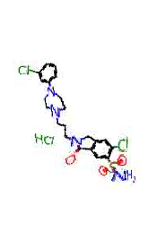 Cl.NS(=O)(=O)c1cc2c(cc1Cl)CN(CCCN1CCN(c3cccc(Cl)c3)CC1)C2=O